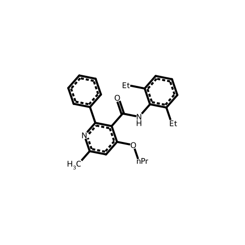 CCCOc1cc(C)nc(-c2ccccc2)c1C(=O)Nc1c(CC)cccc1CC